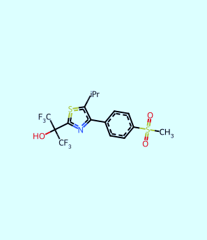 CC(C)c1sc(C(O)(C(F)(F)F)C(F)(F)F)nc1-c1ccc(S(C)(=O)=O)cc1